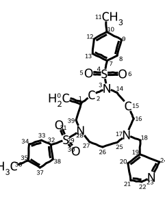 C=C1CN(S(=O)(=O)c2ccc(C)cc2)CCCN(Cc2cccnc2)CCCN(S(=O)(=O)c2ccc(C)cc2)C1